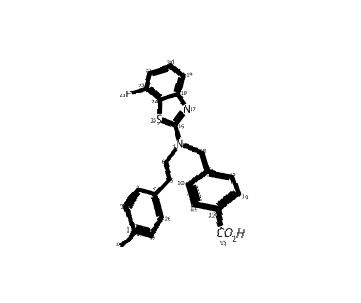 Cc1ccc(CCN(Cc2ccc(C(=O)O)cc2)c2nc3cccc(F)c3s2)cc1